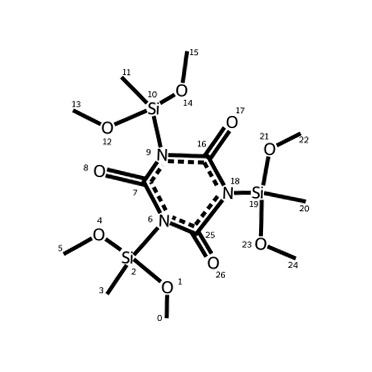 CO[Si](C)(OC)n1c(=O)n([Si](C)(OC)OC)c(=O)n([Si](C)(OC)OC)c1=O